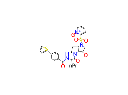 CCCC(NC(=O)c1ccc(-c2cccs2)cc1)C(=O)N1CCC2C1C(=O)CN2S(=O)(=O)c1cccc[n+]1[O-]